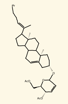 CC(=O)OC[C@H]1OC(O[C@H]2CC[C@@]3(C)C(=CCC4C5CCC(/C(C)=C/CCC(C)C)[C@@]5(C)CCC43)C2)C=C[C@@H]1OC(C)=O